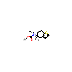 CN(C(=O)OC(C)(C)C)[C@]1(C)CCc2sccc2C1